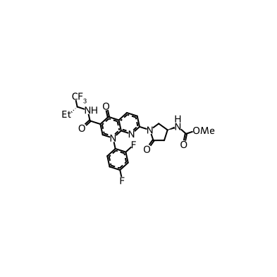 CC[C@@H](NC(=O)c1cn(-c2ccc(F)cc2F)c2nc(N3C[C@@H](NC(=O)OC)CC3=O)ccc2c1=O)C(F)(F)F